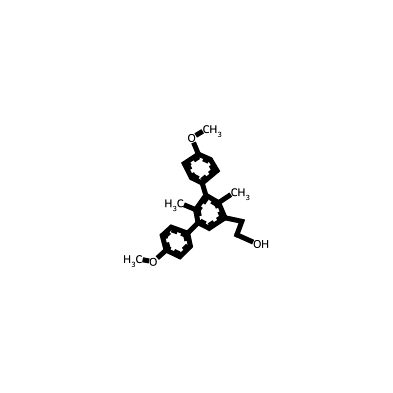 COc1ccc(-c2[c]c(CCO)c(C)c(-c3ccc(OC)cc3)c2C)cc1